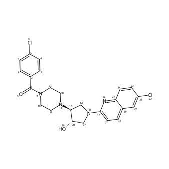 O=C(c1ccc(Cl)cc1)N1CCN([C@H]2CN(c3ccc4cc(Cl)ccc4n3)C[C@@H]2O)CC1